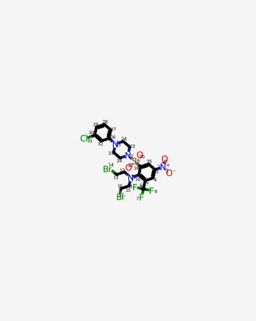 O=[N+]([O-])c1cc(C(F)(F)F)c(N(CCBr)CCBr)c(S(=O)(=O)N2CCN(c3cccc(Cl)c3)CC2)c1